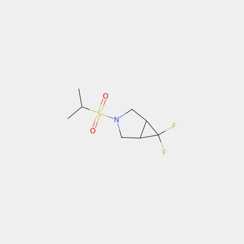 CC(C)S(=O)(=O)N1CC2C(C1)C2(F)F